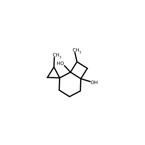 CC1CC12CCCC1(O)CC(C)C12O